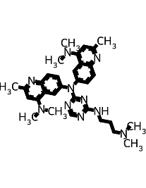 Cc1cc(N(C)C)c2cc(N(c3ccc4nc(C)cc(N(C)C)c4c3)c3ncnc(NCCCN(C)C)n3)ccc2n1